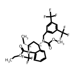 CCOC(=O)[N+]1(C(F)(F)F)c2ccccc2[C@@H](N(Cc2cc(C(F)(F)F)cc(C(F)(F)F)c2)C(=O)OC)C[C@H]1CC